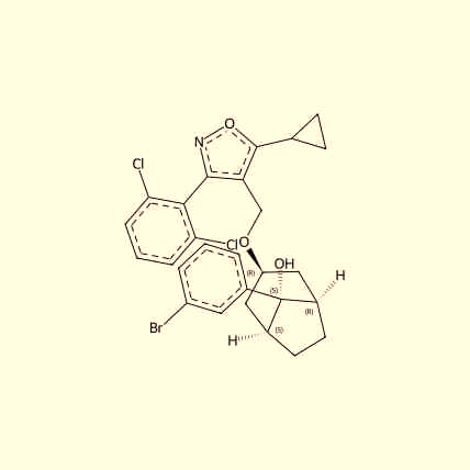 O[C@]1(c2cccc(Br)c2)[C@@H]2CC[C@H]1C[C@@H](OCc1c(-c3c(Cl)cccc3Cl)noc1C1CC1)C2